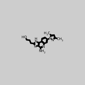 Cc1cc(C)n(-c2ccc3c(c2)nc(N)c2nc(CCCO)[nH]c23)n1